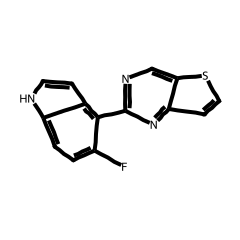 Fc1ccc2[nH]ccc2c1-c1ncc2sccc2n1